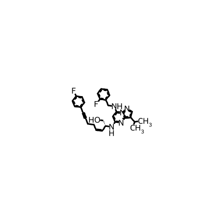 CC(C)c1cnn2c(NCc3ccccc3F)cc(N[C@H](/C=C\CCC#Cc3ccc(F)cc3)CO)nc12